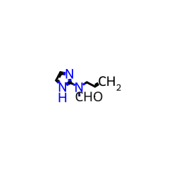 C=CCN([C]=O)c1ncc[nH]1